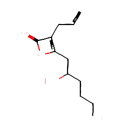 C=CCC1=C(CC(O)CCCCCCCCCCC)OC1=O